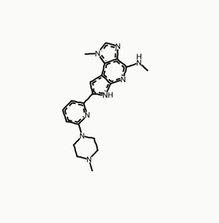 CNc1nc2[nH]c(-c3cccc(N4CCN(C)CC4)n3)cc2c2c1ncn2C